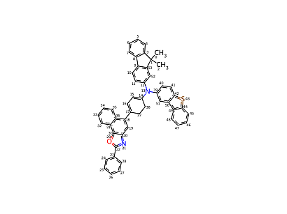 CC1(C)c2ccccc2-c2ccc(N(C3=CC=C(c4cc5nc(-c6ccccc6)oc5c5ccccc45)CC3)c3ccc4sc5ccccc5c4c3)cc21